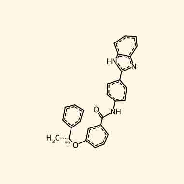 C[C@@H](Oc1cccc(C(=O)Nc2ccc(-c3nc4ccccc4[nH]3)cc2)c1)c1ccccc1